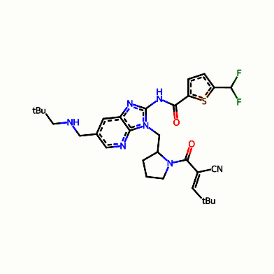 CC(C)(C)/C=C(\C#N)C(=O)N1CCCC1Cn1c(NC(=O)c2ccc(C(F)F)s2)nc2cc(CNCC(C)(C)C)cnc21